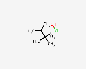 CC(C)C(C)(C)C.OCl